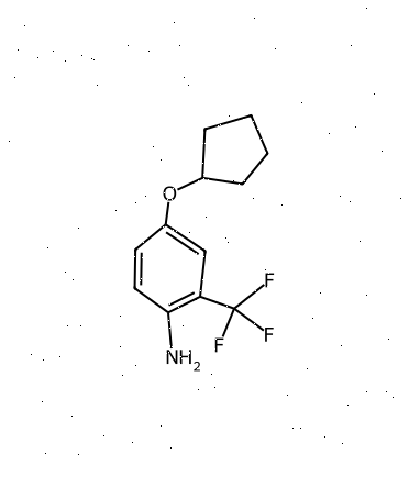 Nc1ccc(OC2CCCC2)cc1C(F)(F)F